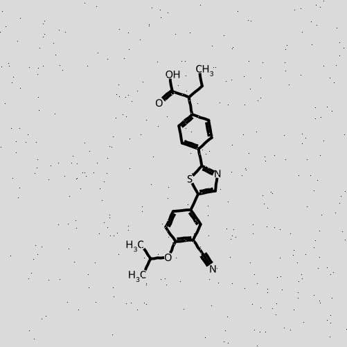 CCC(C(=O)O)c1ccc(-c2ncc(-c3ccc(OC(C)C)c(C#N)c3)s2)cc1